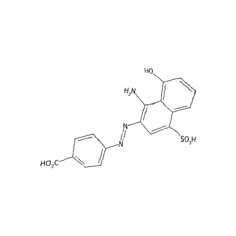 Nc1c(N=Nc2ccc(C(=O)O)cc2)cc(S(=O)(=O)O)c2cccc(O)c12